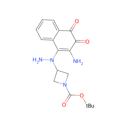 CC(C)(C)OC(=O)N1CC(N(N)C2=C(N)C(=O)C(=O)c3ccccc32)C1